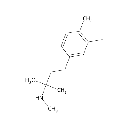 CNC(C)(C)CCc1ccc(C)c(F)c1